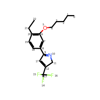 CCCCCOc1cc(C2=NCC(C(F)(F)F)=C2)ccc1CC